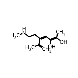 C=C(C)/C(=C\C(O)=C(/C)O)CCNC